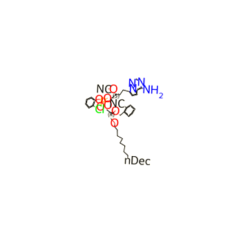 CCCCCCCCCCCCCCCCCCOC[C@H](COP(=O)(OC[C@H](CCc1ccc2c(N)ncnn12)OC#N)Oc1ccccc1Cl)OCc1ccccc1C#N